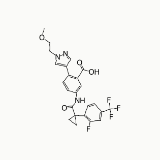 COCCn1cc(-c2ccc(NC(=O)C3(c4ccc(C(F)(F)F)cc4F)CC3)cc2C(=O)O)cn1